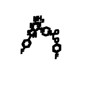 Nc1nc(N2CCN(C(=O)COc3ccc(F)cc3)CC2)c2nc(-c3ccc(F)cc3)sc2n1